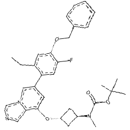 CCc1cc(OCc2ccccc2)c(F)cc1-c1cc(O[C@H]2C[C@H](N(C)C(=O)OC(C)(C)C)C2)c2cncn2c1